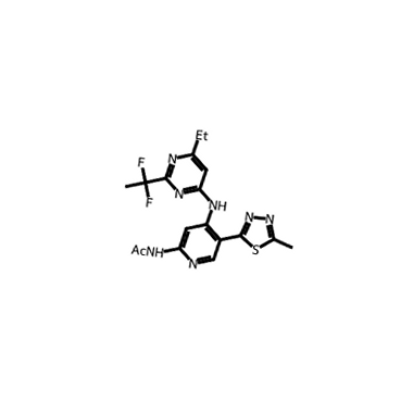 CCc1cc(Nc2cc(NC(C)=O)ncc2-c2nnc(C)s2)nc(C(C)(F)F)n1